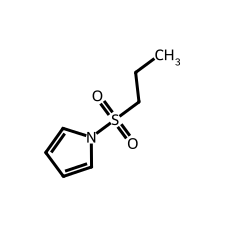 CCCS(=O)(=O)n1cccc1